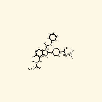 COC(=O)N1CCc2ccc3c(nc(C4CCC(C(=O)N[S+](C)[O-])CC4)n3[C@@H](C)Cc3ccccc3)c2C1